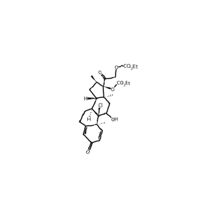 CCOC(=O)OCC(=O)[C@@]1(OC(=O)OCC)[C@H](C)C[C@H]2[C@@H]3CCC4=CC(=O)C=C[C@]4(C)[C@@]3(Cl)C(O)C[C@@]21C